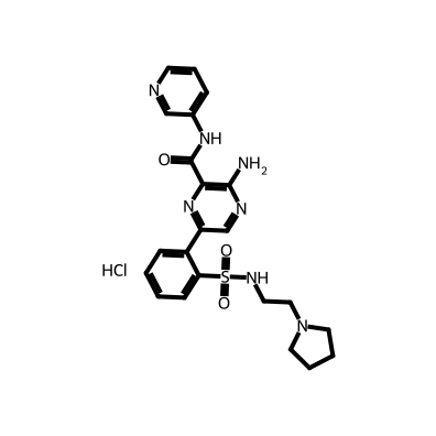 Cl.Nc1ncc(-c2ccccc2S(=O)(=O)NCCN2CCCC2)nc1C(=O)Nc1cccnc1